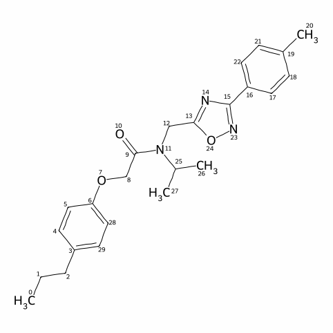 CCCc1ccc(OCC(=O)N(Cc2nc(-c3ccc(C)cc3)no2)C(C)C)cc1